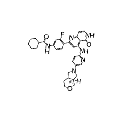 O=C(Nc1ccc(-c2cc(Nc3ccc(N4CC5CCOC[C@H]5C4)cn3)c3c(=O)[nH]ccc3n2)c(F)c1)C1CCCCC1